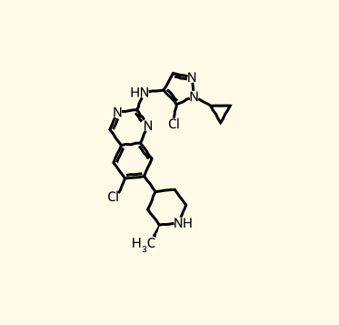 C[C@H]1CC(c2cc3nc(Nc4cnn(C5CC5)c4Cl)ncc3cc2Cl)CCN1